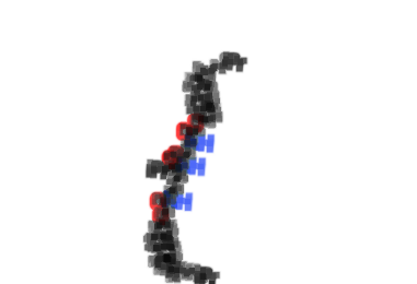 CC(C)CCCC(C)[C@H]1CCC2C3CCC4[C@@H](OCC(=O)NCCC(=O)N[C@@H](CCCCNC(=O)CO[C@H]5CC[C@@]6(C)C(CCC7C6CC[C@@]6(C)C7CCC6[C@@H](C)CCCC(C)C)C5)C(=O)C(C)C)CCC[C@]4(C)C3CC[C@@]21C